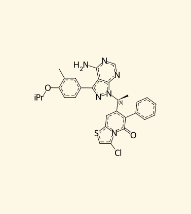 Cc1cc(-c2nn([C@@H](C)c3cc4scc(Cl)n4c(=O)c3-c3ccccc3)c3ncnc(N)c23)ccc1OC(C)C